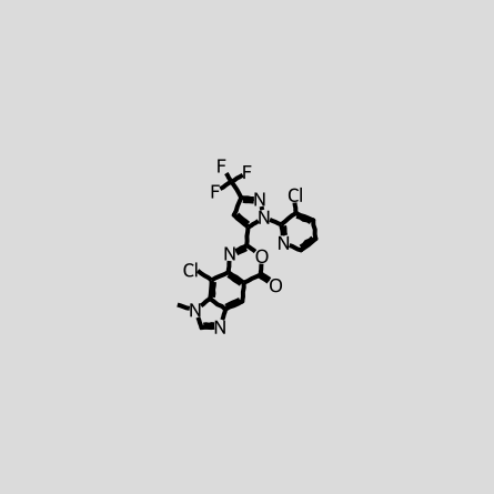 Cn1cnc2cc3c(=O)oc(-c4cc(C(F)(F)F)nn4-c4ncccc4Cl)nc3c(Cl)c21